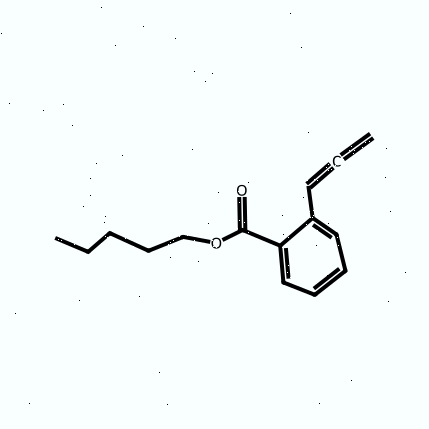 C=C=Cc1ccccc1C(=O)OCCCCC